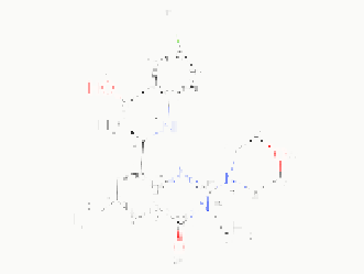 Cc1cc([C@@H](C)Nc2ccc(F)cc2CO)c2nc(N3CCOCC3)n(C)c(=O)c2c1